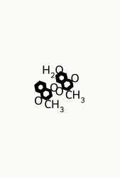 CC1=CC(=O)c2ccccc2C1=O.CC1=CC(=O)c2ccccc2C1=O.O